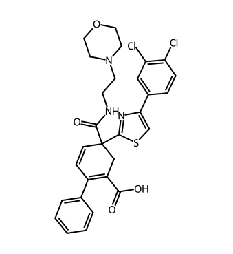 O=C(O)C1=C(c2ccccc2)C=CC(C(=O)NCCN2CCOCC2)(c2nc(-c3ccc(Cl)c(Cl)c3)cs2)C1